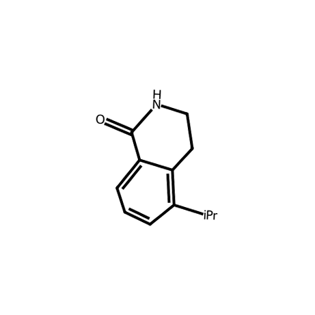 CC(C)c1cccc2c1CCNC2=O